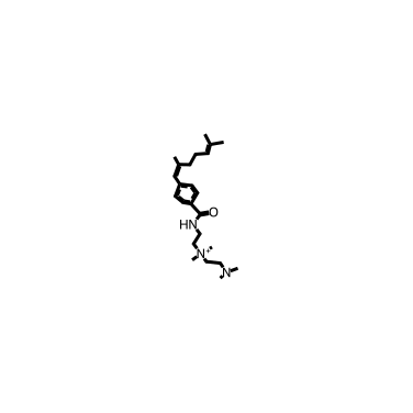 CC(C)=CCCC(C)=Cc1ccc(C(=O)NCC[N+](C)(C)CCN(C)C)cc1